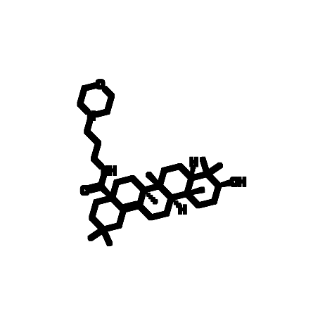 CC1(C)CC[C@]2(C(=O)NCCCN3CCOCC3)CC[C@]3(C)C(=C2C1)CC[C@@H]1[C@@]2(C)CC[C@H](O)C(C)(C)[C@@H]2CC[C@]13C